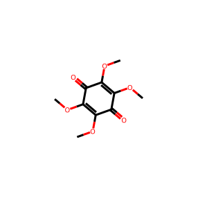 COC1=C(OC)C(=O)C(OC)=C(OC)C1=O